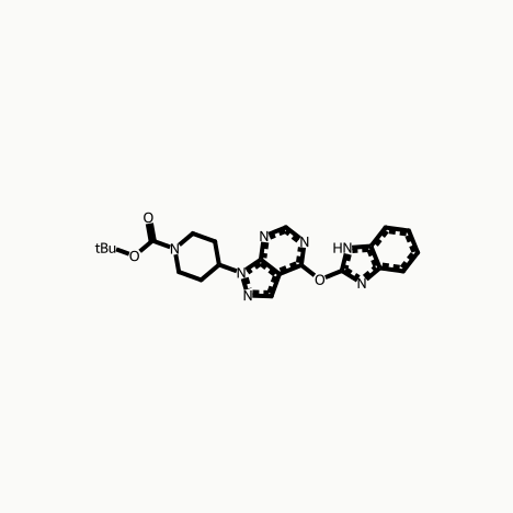 CC(C)(C)OC(=O)N1CCC(n2ncc3c(Oc4nc5ccccc5[nH]4)ncnc32)CC1